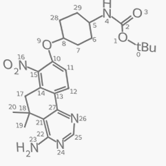 CC(C)(C)OC(=O)NC1CCC(Oc2ccc3c(c2[N+](=O)[O-])CC(C)(C)c2c(N)ncnc2-3)CC1